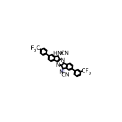 N#C/N=C1\c2cc(-c3cccc(C(F)(F)F)c3)ccc2-c2nc3c(nc21)-c1ccc(-c2ccc(C(F)(F)F)cc2)cc1C3NC#N